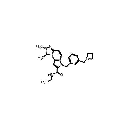 CCNC(=O)c1cc2c(n1Cc1cccc(CN3CCC3)c1)C=CC1=NN(C)C(C)N12